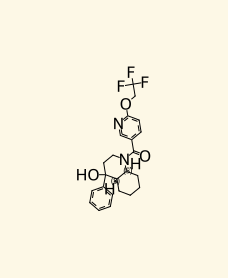 O=C(c1ccc(OCC(F)(F)F)nc1)N1CCC(O)(c2ccccc2)[C@H]2CCCC[C@@H]21